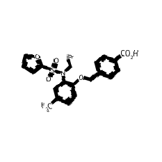 CC(C)CN(c1cc(C(F)(F)F)ccc1OCc1ccc(C(=O)O)cc1)S(=O)(=O)c1ccco1